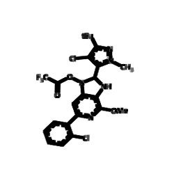 COc1nc(-c2ccccc2Cl)cc2c1NC(c1c(Cl)c(C(C)(C)C)nn1C)N2OC(=O)C(F)(F)F